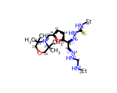 CCNCN/N=C/C(=N/NC(=S)NCC)c1ccc(CN2C(C)(C)COCC2(C)C)o1